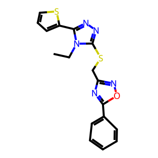 CCn1c(SCc2noc(-c3ccccc3)n2)nnc1-c1cccs1